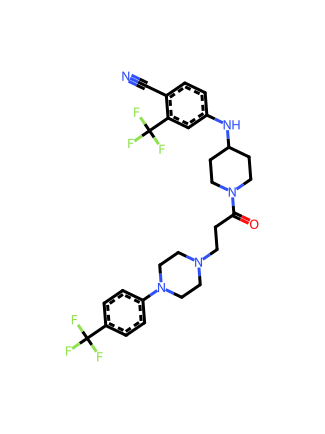 N#Cc1ccc(NC2CCN(C(=O)CCN3CCN(c4ccc(C(F)(F)F)cc4)CC3)CC2)cc1C(F)(F)F